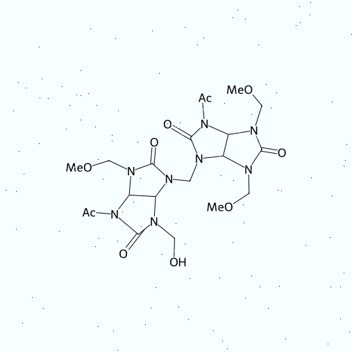 COCN1C(=O)N(COC)C2C1N(CN1C(=O)N(COC)C3C1N(CO)C(=O)N3C(C)=O)C(=O)N2C(C)=O